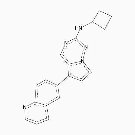 c1cnc2ccc(-c3ccn4nc(NC5CCC5)ncc34)cc2c1